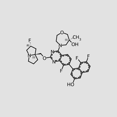 C[C@@]1(O)COCCN(c2nc(OC[C@@]34CCCN3C[C@H](F)C4)nc3c(F)c(-c4cc(O)cc5ccc(F)c(F)c45)ccc23)C1